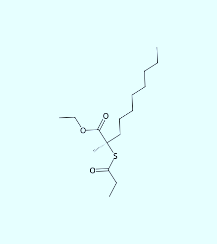 CCCCCCCC[C@@](C)(SC(=O)CC)C(=O)OCC